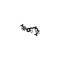 COc1ccc(-n2nnc(C(C)C)n2)cc1/C=C/CC(C)(C)Cc1csc(C(C)C)n1